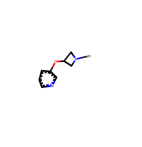 CC(C)N1CC(Oc2cccnc2)C1